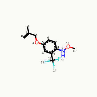 C=C(C)COc1ccc(NOC)c(C(F)(F)F)c1